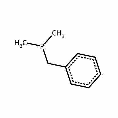 CP(C)Cc1cc[c]cc1